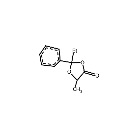 CCC1(c2ccccc2)OC(=O)C(C)O1